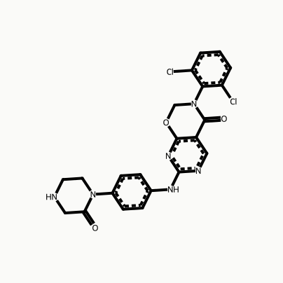 O=C1CNCCN1c1ccc(Nc2ncc3c(n2)OCN(c2c(Cl)cccc2Cl)C3=O)cc1